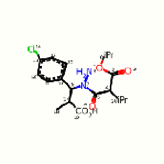 CC(C)OC(=O)C(C(=O)N(N)C(c1ccc(Cl)cc1)C(C)C(=O)O)C(C)C